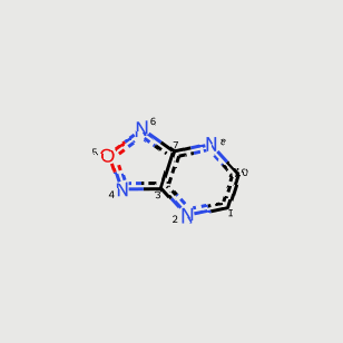 [c]1cnc2nonc2n1